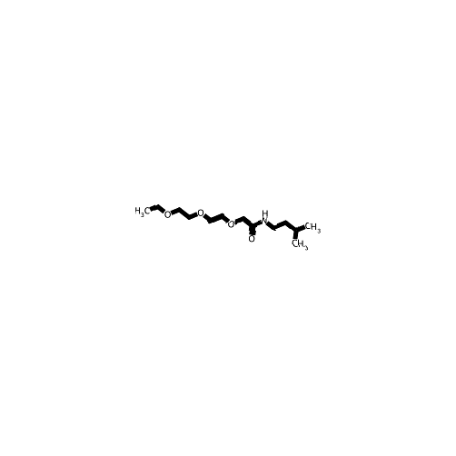 CCOCCOCCOCC(=O)NCCC(C)C